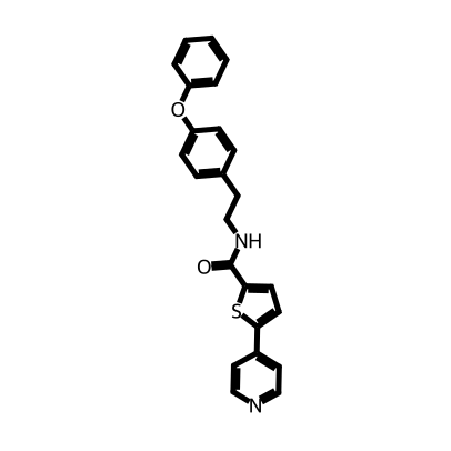 O=C(NCCc1ccc(Oc2ccccc2)cc1)c1ccc(-c2ccncc2)s1